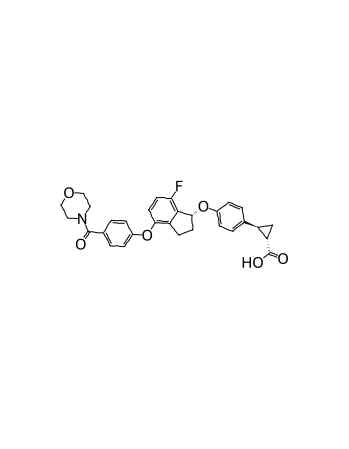 O=C(O)[C@H]1C[C@@H]1c1ccc(O[C@@H]2CCc3c(Oc4ccc(C(=O)N5CCOCC5)cc4)ccc(F)c32)cc1